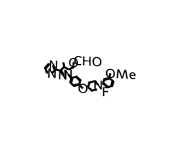 COc1ccc(F)c(N2CCC(Oc3ccc(N4N=C(c5ncccn5)C(C)C4COC=O)cc3)CC2)c1